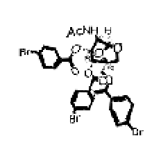 CC(=O)N[C@H]1[C@H]2OC[C@](COC(=O)c3ccc(Br)cc3)(O2)[C@H](OC(=O)c2ccc(Br)cc2)[C@@H]1OC(=O)c1ccc(Br)cc1